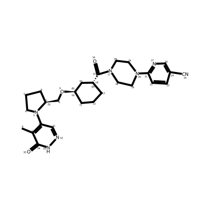 Cc1c(N2CCC[C@H]2CO[C@@H]2CCC[C@@H](C(=O)N3CCN(c4ccc(C#N)cn4)CC3)C2)cn[nH]c1=O